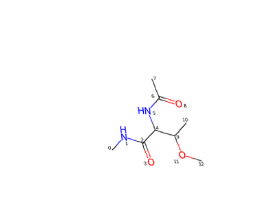 CNC(=O)C(NC(C)=O)C(C)OC